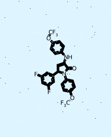 O=C1C(Nc2ccc(OC(F)(F)F)cc2)=CC(c2cc(F)cc(F)c2)N1c1ccc(OC(F)(F)F)cc1